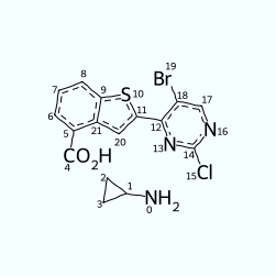 NC1CC1.O=C(O)c1cccc2sc(-c3nc(Cl)ncc3Br)cc12